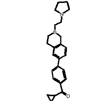 O=C(c1ccc(-c2ccc3c(c2)CCN(CCN2CCCC2)C3)cc1)C1CC1